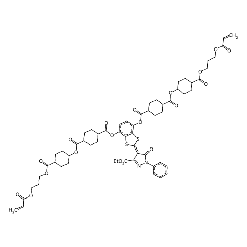 C=CC(=O)OCCCOC(=O)C1CCC(OC(=O)C2CCC(C(=O)Oc3ccc(OC(=O)C4CCC(C(=O)OC5CCC(C(=O)OCCCOC(=O)C=C)CC5)CC4)c4c3SC(=C3C(=O)N(c5ccccc5)N=C3C(=O)OCC)S4)CC2)CC1